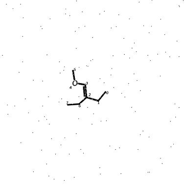 CCC(=COC)CC